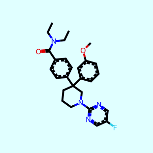 CCN(CC)C(=O)c1ccc(C2(c3cccc(OC)c3)CCCN(c3ncc(F)cn3)C2)cc1